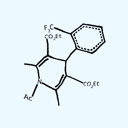 CCOC(=O)C1=C(C)N(C(C)=O)C(C)=C(C(=O)OCC)C1c1ccccc1C(F)(F)F